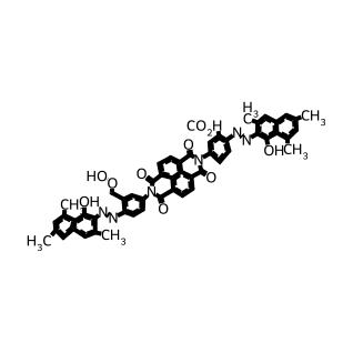 Cc1cc(C)c2c(O)c(N=Nc3ccc(N4C(=O)c5ccc6c7c(ccc(c57)C4=O)C(=O)N(c4ccc(N=Nc5c(C)cc7cc(C)cc(C)c7c5O)c(C(=O)O)c4)C6=O)cc3COO)c(C)cc2c1